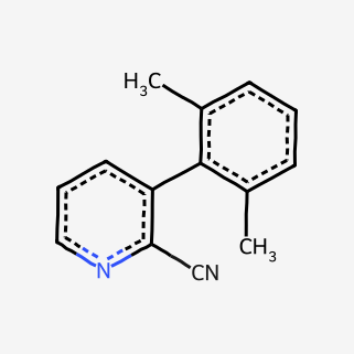 Cc1cccc(C)c1-c1cccnc1C#N